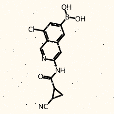 N#CC1CC1C(=O)Nc1cc2cc(B(O)O)cc(Cl)c2cn1